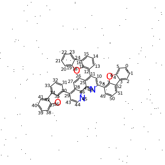 c1ccc2c(c1)oc1c(-c3cc(-c4cccc5c4oc4ccccc45)c4ccc5c(-c6cccc7c6oc6ccccc67)ccnc5c4n3)cccc12